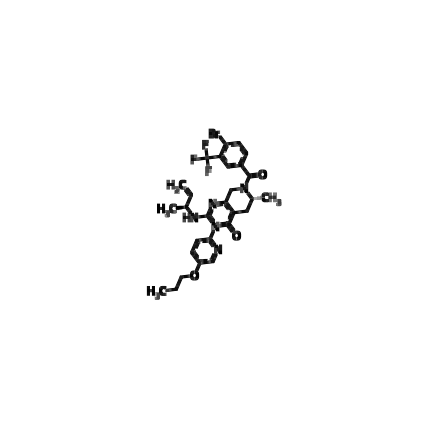 C=C[C@H](C)Nc1nc2c(c(=O)n1-c1ccc(OCCC)cn1)C[C@@H](C)N(C(=O)c1ccc(Br)c(C(F)(F)F)c1)C2